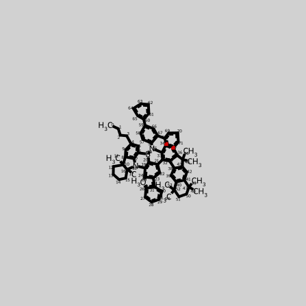 CCCCc1cc2c3c(c1)C1(C)CCCCC1(C)N3c1c3c(cc4c1oc1ccccc14)-c1c(ccc4c1-c1cc5c(cc1C4(C)C)C(C)(C)CCC5(C)C)N(c1ccc(-c4ccccc4)cc1-c1ccccc1)B23